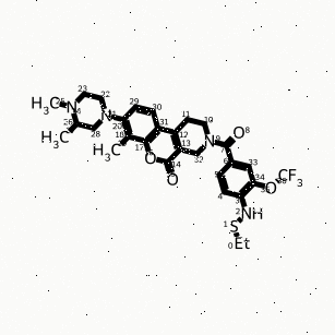 CCSNc1ccc(C(=O)N2CCc3c(c(=O)oc4c(C)c(N5CCN(C)C(C)C5)ccc34)C2)cc1OC(F)(F)F